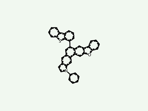 c1ccc(-n2ccc3cc4cc(-c5cccc6c5sc5ccccc56)c5cc6c(cc5c4cc32)oc2ccccc26)cc1